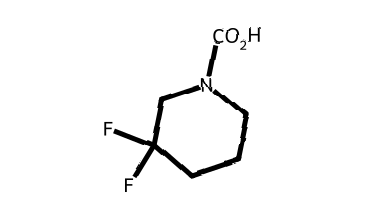 O=C(O)N1CCCC(F)(F)C1